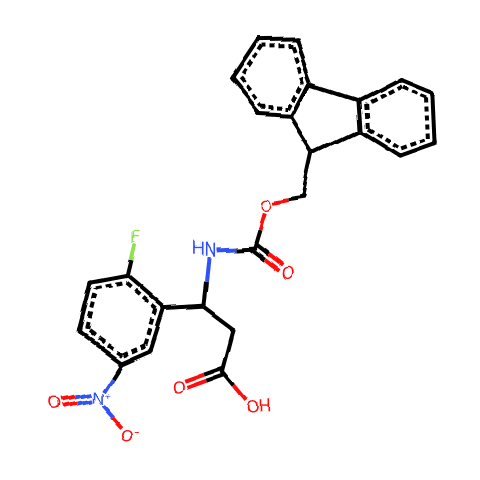 O=C(O)CC(NC(=O)OCC1c2ccccc2-c2ccccc21)c1cc([N+](=O)[O-])ccc1F